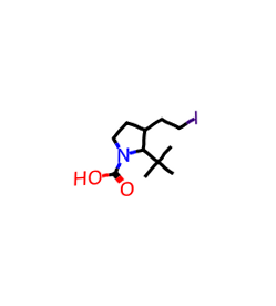 CC(C)(C)C1C(CCI)CCN1C(=O)O